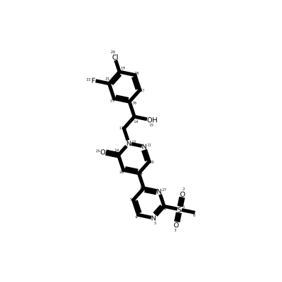 CS(=O)(=O)c1nccc(-c2cnn(CC(O)c3ccc(Cl)c(F)c3)c(=O)c2)n1